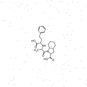 CC(NC(CCc1ccccc1)C(=O)O)C(=O)N1C(C(=O)O)CC2CCCCC21